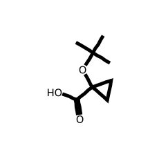 CC(C)(C)OC1(C(=O)O)CC1